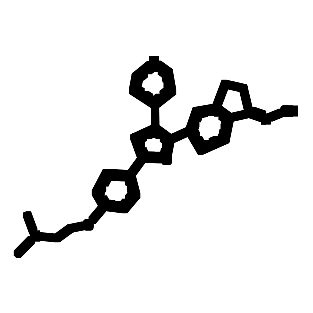 CN(C)CCOc1ccc(-c2cc(-c3ccncc3)c(-c3ccc4c(c3)CCC4=NO)o2)cc1